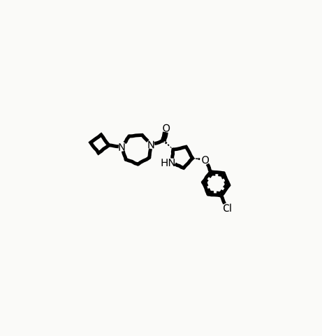 O=C([C@@H]1C[C@H](Oc2ccc(Cl)cc2)CN1)N1CCCN(C2CCC2)CC1